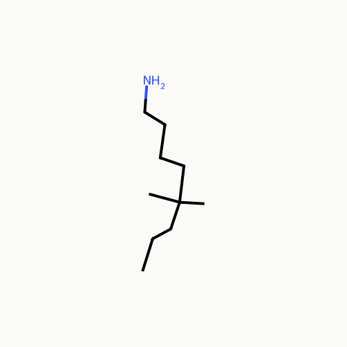 CCCC(C)(C)CCCCN